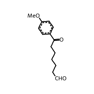 COc1ccc(C(=O)CCCCCC=O)cc1